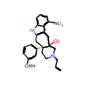 C=CCN1CC[C@@]2(c3cccc(OC)c3)Cc3[nH]c4cccc([N+](=O)[O-])c4c3C[C@]2(O)C1